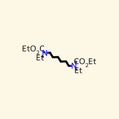 CCOC(=O)N(CC)CCCCCCN(CC)C(=O)OCC